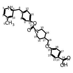 Cc1ccnc(Cc2ccc(OC(=O)N3CCC(COc4ccc(C(=O)O)cc4)CC3)cc2)c1